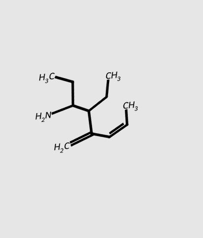 C=C(/C=C\C)C(CC)C(N)CC